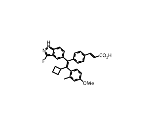 COc1ccc(C(=C(c2ccc(C=CC(=O)O)cc2)c2ccc3[nH]nc(F)c3c2)C2CCC2)c(C)c1